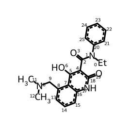 CCN(C(=O)c1c(O)c2c(CN(C)C)cccc2[nH]c1=O)c1ccccc1